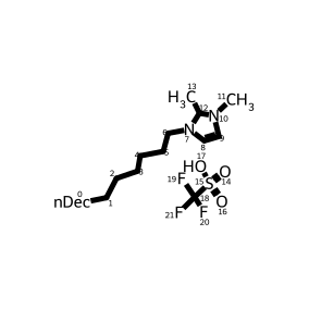 CCCCCCCCCCCCCCCCN1C=CN(C)C1C.O=S(=O)(O)C(F)(F)F